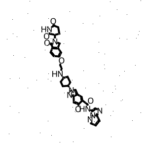 COc1cc2nn(C3CCC(NCCOc4ccc5c(c4)CN(C4CCC(=O)NC4=O)C5=O)CC3)cc2cc1C(=O)Nc1cnc2cccnn12